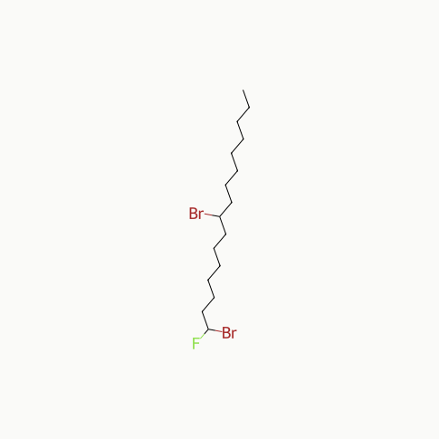 CCCCCCCCC(Br)CCCCCCC(F)Br